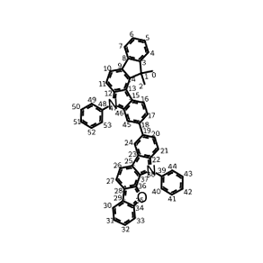 CC1(C)c2ccccc2-c2ccc3c(c21)c1ccc(-c2ccc4c(c2)c2ccc5c6ccccc6oc5c2n4-c2ccccc2)cc1n3-c1ccccc1